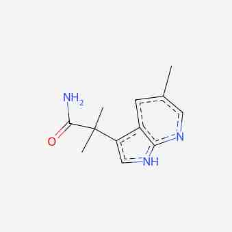 Cc1cnc2[nH]cc(C(C)(C)C(N)=O)c2c1